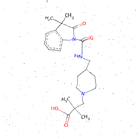 CC(C)(CN1CCC(CNC(=O)N2C(=O)C(C)(C)c3ccccc32)CC1)C(=O)O